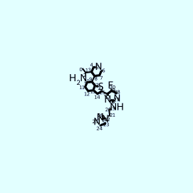 CC(N)c1cnccc1-c1cccc2cc(-c3nc(NCCn4ccnn4)ncc3F)sc12